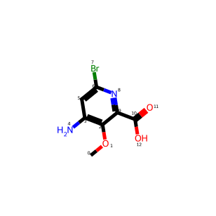 COc1c(N)cc(Br)nc1C(=O)O